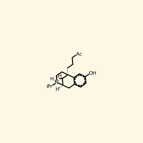 CC(=O)CCC[C@]12CCN(C(C)C)[C@H](Cc3ccc(O)cc31)[C@@H]2C